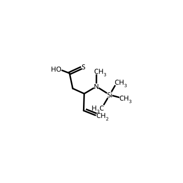 C=CC(CC(O)=S)N(C)[Si](C)(C)C